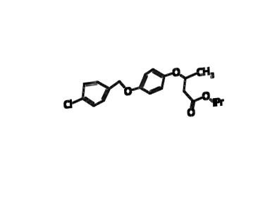 CC(C)OC(=O)CC(C)Oc1ccc(OCc2ccc(Cl)cc2)cc1